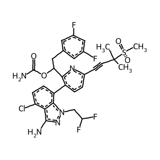 CC(C)(C#Cc1ccc(-c2ccc(Cl)c3c(N)nn(CC(F)F)c23)c(C(Cc2cc(F)cc(F)c2)OC(N)=O)n1)S(C)(=O)=O